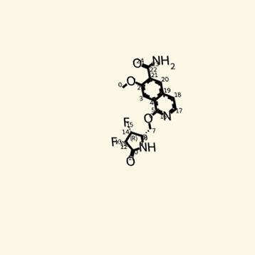 COc1cc2c(OC[C@@H]3NC(=O)[C@H](F)[C@@H]3F)nccc2cc1C(N)=O